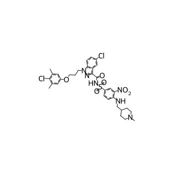 Cc1cc(OCCCn2nc(C(=O)NS(=O)(=O)c3ccc(NCC4CCN(C)CC4)c([N+](=O)[O-])c3)c3cc(Cl)ccc32)cc(C)c1Cl